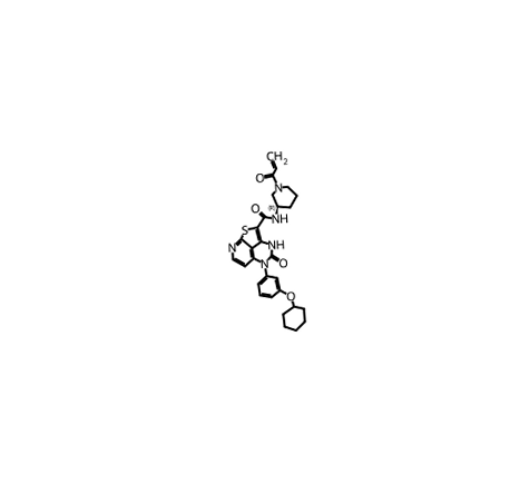 C=CC(=O)N1CCC[C@@H](NC(=O)c2sc3nccc4c3c2NC(=O)N4c2cccc(OC3CCCCC3)c2)C1